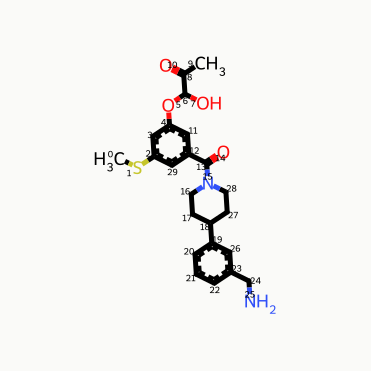 CSc1cc(OC(O)C(C)=O)cc(C(=O)N2CCC(c3cccc(CN)c3)CC2)c1